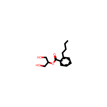 CCCCc1ccccc1C(=O)OC(CO)CO